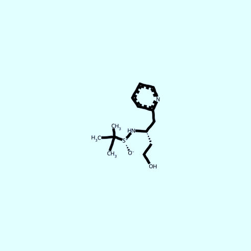 CC(C)(C)[S@@+]([O-])N[C@@H](CCO)Cc1ccccn1